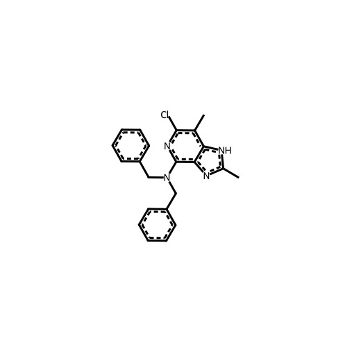 Cc1nc2c(N(Cc3ccccc3)Cc3ccccc3)nc(Cl)c(C)c2[nH]1